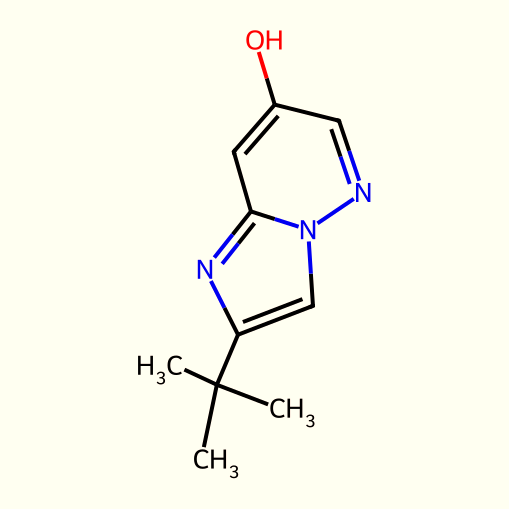 CC(C)(C)c1cn2ncc(O)cc2n1